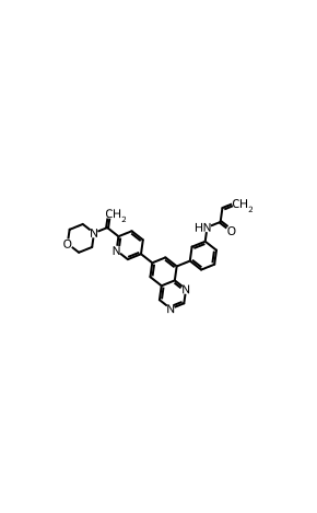 C=CC(=O)Nc1cccc(-c2cc(-c3ccc(C(=C)N4CCOCC4)nc3)cc3cncnc23)c1